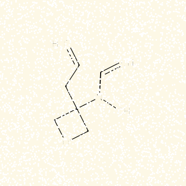 C=CCC1(N(C)C=C)COC1